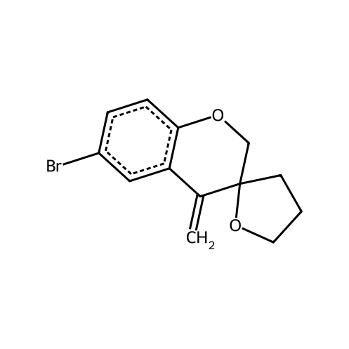 C=C1c2cc(Br)ccc2OCC12CCCO2